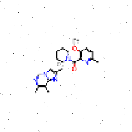 CCOc1ccc(C)nc1C(=O)N1CCCC[C@H]1Cc1cn2cnc(C)c(C)c2n1